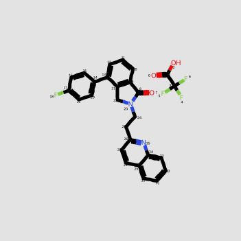 O=C(O)C(F)(F)F.O=C1c2cccc(-c3ccc(F)cc3)c2CN1CCc1ccc2ccccc2n1